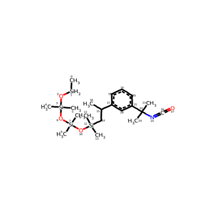 C[SiH2]O[Si](C)(C)O[Si](C)(C)O[Si](C)(C)CC(C)c1cccc(C(C)(C)N=C=O)c1